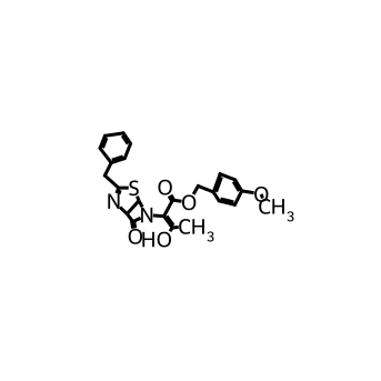 COc1ccc(COC(=O)C(=C(C)O)N2C(=O)C3N=C(Cc4ccccc4)SC32)cc1